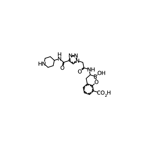 O=C(Cn1cc(C(=O)NC2CCNCC2)nn1)NC1Cc2cccc(C(=O)O)c2OB1O